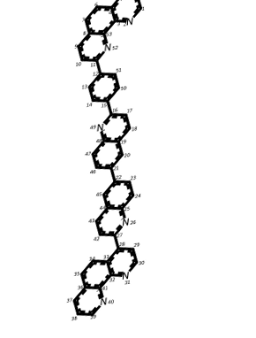 c1cnc2c(c1)ccc1ccc(-c3ccc(-c4ccc5cc(-c6ccc7nc(-c8ccnc9c8ccc8cccnc89)ccc7c6)ccc5n4)cc3)nc12